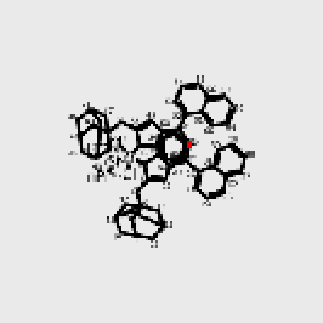 CCC[SiH](C)[Zr]([Cl])([Cl])([CH]1C(CC23CC4CC(CC(C4)C2)C3)=Cc2c(-c3cccc4ccccc34)cccc21)[CH]1C(CC23CC4CC(CC(C4)C2)C3)=Cc2c(-c3cccc4ccccc34)cccc21